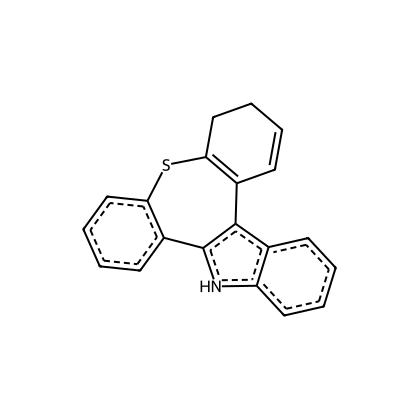 C1=CC2=C(CC1)Sc1ccccc1-c1[nH]c3ccccc3c12